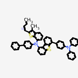 C=C/C=C\c1sc2c(N(c3ccc(-c4ccccc4)cc3)c3cccc4sc5c(-c6ccc(N(c7ccccc7)c7ccccc7)cc6)cccc5c34)cccc2c1C